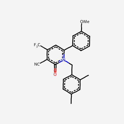 COc1cccc(-c2cc(C(F)(F)F)c(C#N)c(=O)n2Cc2ccc(C)cc2C)c1